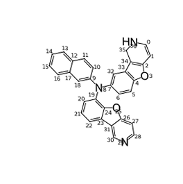 C1=Cc2oc3ccc(N(c4ccc5ccccc5c4)c4cccc5c4oc4ccncc45)cc3c2CN1